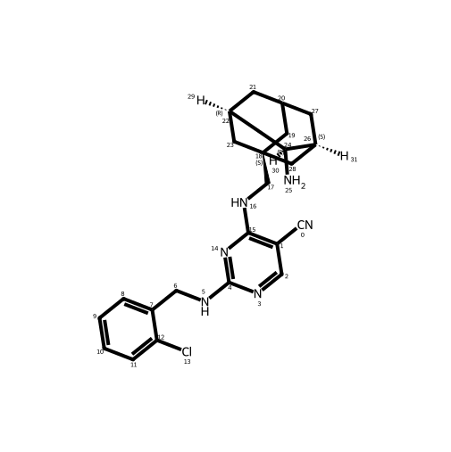 N#Cc1cnc(NCc2ccccc2Cl)nc1NC[C@]12CC3C[C@H](C1)[C@H](N)[C@@H](C3)C2